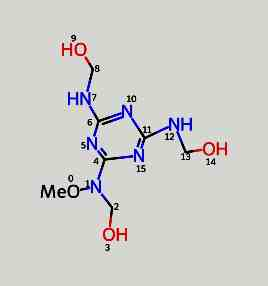 CON(CO)c1nc(NCO)nc(NCO)n1